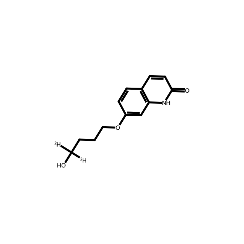 [2H]C([2H])(O)CCCOc1ccc2ccc(=O)[nH]c2c1